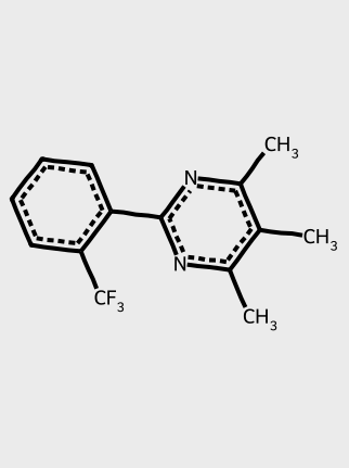 Cc1nc(-c2ccccc2C(F)(F)F)nc(C)c1C